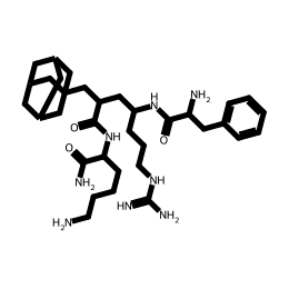 N=C(N)NCCCC(CC(CC12CC3CC(CC(C3)C1)C2)C(=O)NC(CCCCN)C(N)=O)NC(=O)C(N)Cc1ccccc1